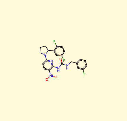 O=C(NCc1cccc(F)c1)Nc1nc(N2CCCC2c2cc(F)ccc2F)ccc1[N+](=O)[O-]